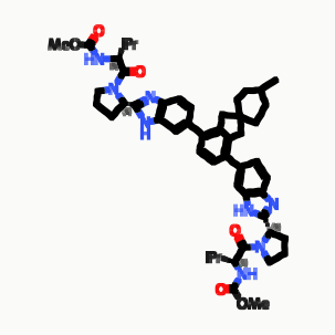 COC(=O)N[C@H](C(=O)N1CCC[C@H]1c1nc2ccc(-c3ccc(-c4ccc5nc([C@@H]6CCCN6C(=O)[C@@H](NC(=O)OC)C(C)C)[nH]c5c4)c4c3CC3(CCC(C)CC3)C4)cc2[nH]1)C(C)C